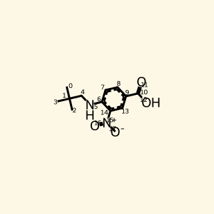 CC(C)(C)CNc1ccc(C(=O)O)cc1[N+](=O)[O-]